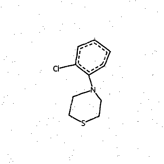 Clc1c[c]ccc1N1CCSCC1